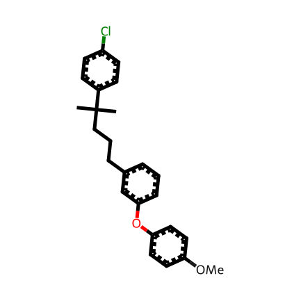 COc1ccc(Oc2cccc(CCCC(C)(C)c3ccc(Cl)cc3)c2)cc1